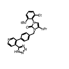 CCCc1cn(-c2c(CC)cccc2C(C)(C)C)c(=O)n1Cc1ccc(-c2cnccc2-c2nnn[nH]2)cc1